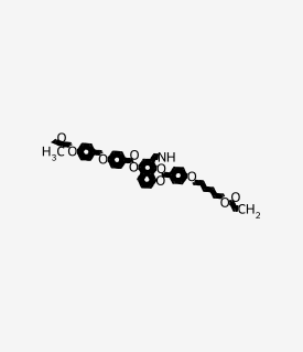 C=CC(=O)OCCCCCCOc1ccc(C(=O)Oc2c(C=N)cc(OC(=O)c3ccc(OCc4ccc(OCC5(C)CO5)cc4)cc3)c3ccccc23)cc1